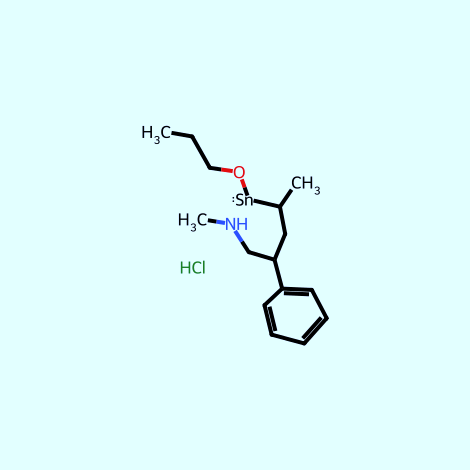 CCC[O][Sn][CH](C)CC(CNC)c1ccccc1.Cl